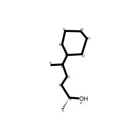 CC(CC[C@@H](C)O)C1CCCCC1